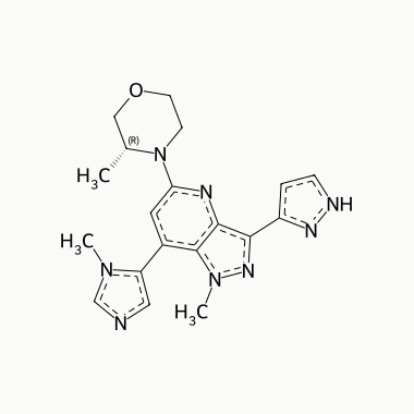 C[C@@H]1COCCN1c1cc(-c2cncn2C)c2c(n1)c(-c1cc[nH]n1)nn2C